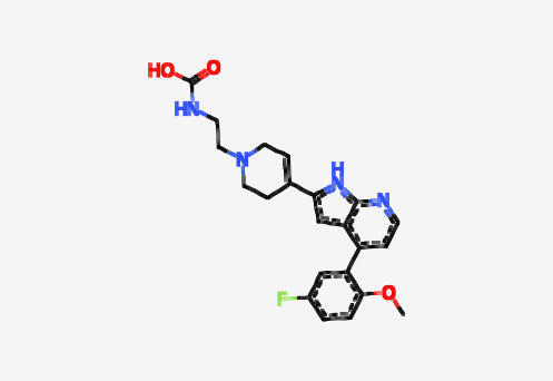 COc1ccc(F)cc1-c1ccnc2[nH]c(C3=CCN(CCNC(=O)O)CC3)cc12